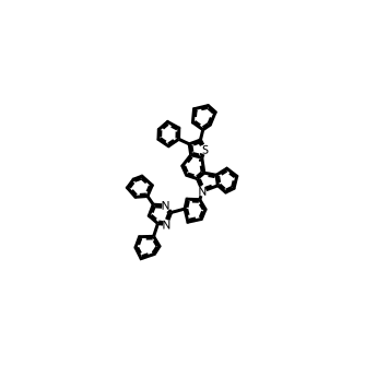 c1ccc(-c2cc(-c3ccccc3)nc(-c3cccc(-n4c5ccccc5c5c6sc(-c7ccccc7)c(-c7ccccc7)c6ccc54)c3)n2)cc1